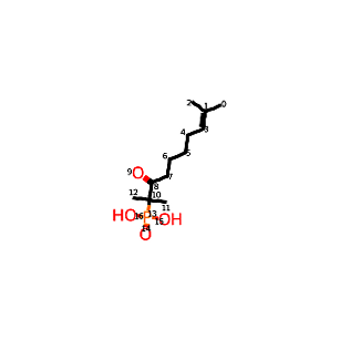 CC(C)=CCCCCC(=O)C(C)(C)P(=O)(O)O